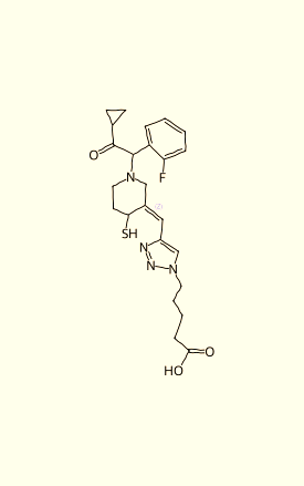 O=C(O)CCCCn1cc(/C=C2/CN(C(C(=O)C3CC3)c3ccccc3F)CCC2S)nn1